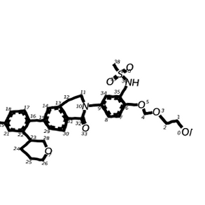 COCCOCOc1ccc(N2CCc3cc(-c4ccc(C(C)(C)C)cc4C4CCCOC4)ccc3C2=O)cc1NS(C)(=O)=O